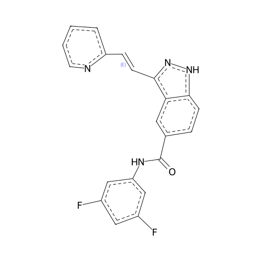 O=C(Nc1cc(F)cc(F)c1)c1ccc2[nH]nc(/C=C/c3ccccn3)c2c1